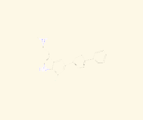 CN(C)CCc1c[nH]c2c(F)cc(C3=CC=C(c4ccccc4)CC3)cc12